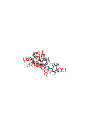 O=C(CC(O)c1ccc(O)cc1)c1ccc(O)c(C2OC(CO)C(O)C(O)C2O)c1O